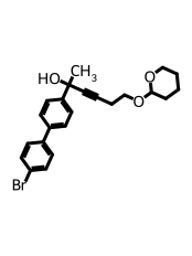 CC(O)(C#CCCOC1CCCCO1)c1ccc(-c2ccc(Br)cc2)cc1